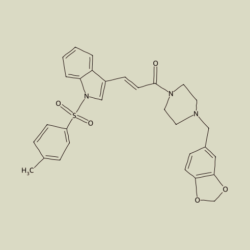 Cc1ccc(S(=O)(=O)n2cc(/C=C/C(=O)N3CCN(Cc4ccc5c(c4)OCO5)CC3)c3ccccc32)cc1